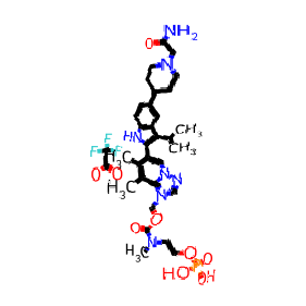 Cc1c(-c2[nH]c3ccc(C4CCN(CC(N)=O)CC4)cc3c2C(C)C)cn2nc[n+](COC(=O)N(C)CCOP(=O)(O)O)c2c1C.O=C([O-])C(F)(F)F